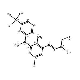 CCN(C)C=Nc1cc(F)cc(N(C)c2cccc(C(F)(F)F)n2)c1C